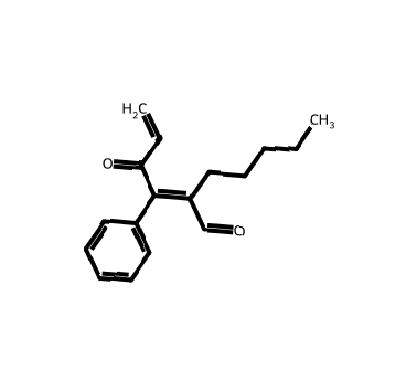 C=CC(=O)C(=C(C=O)CCCCC)c1ccccc1